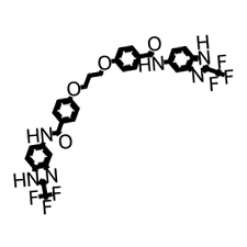 O=C(Nc1ccc2[nH]c(C(F)(F)F)nc2c1)c1ccc(OCCCOc2ccc(C(=O)Nc3ccc4[nH]c(C(F)(F)F)nc4c3)cc2)cc1